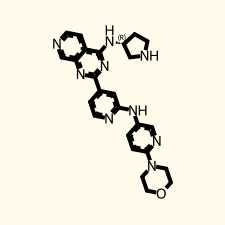 c1cc2c(N[C@@H]3CCNC3)nc(-c3ccnc(Nc4ccc(N5CCOCC5)nc4)c3)nc2cn1